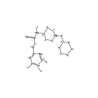 Cc1nc(OCC(=O)N(C)C2CCN(CC3CCCCC3)CC2)nc(C)c1C